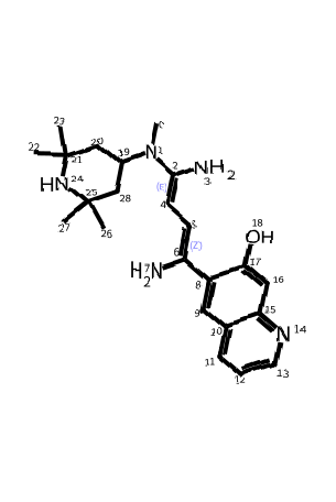 CN(/C(N)=C/C=C(\N)c1cc2cccnc2cc1O)C1CC(C)(C)NC(C)(C)C1